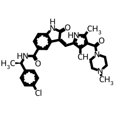 Cc1[nH]c(/C=C2\C(=O)Nc3ccc(C(=O)N[C@H](C)c4ccc(Cl)cc4)cc32)c(C)c1C(=O)N1CCN(C)CC1